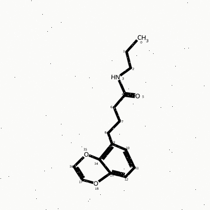 CCCNC(=O)CCCc1cccc2c1OC=CO2